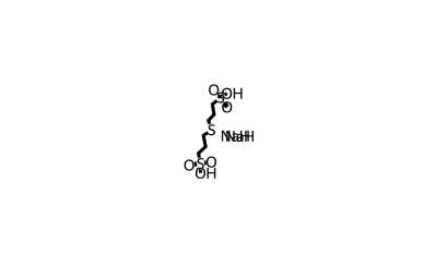 O=S(=O)(O)CCCSCCCS(=O)(=O)O.[NaH].[NaH]